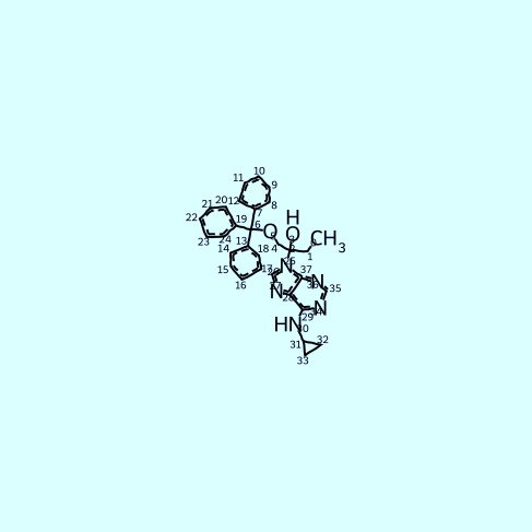 CCC(O)(COC(c1ccccc1)(c1ccccc1)c1ccccc1)n1cnc2c(NC3CC3)ncnc21